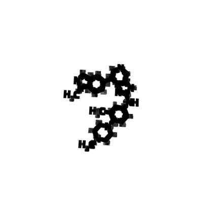 Cc1cc(Nc2nc3cncc(-c4ccc5c(cnn5C)c4)n3n2)ccc1N1CCN(C)CC1